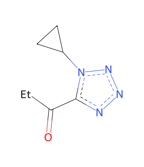 CCC(=O)c1nnnn1C1CC1